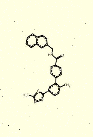 Cc1nnc(-c2ccc(C)c(-c3ccc(C(=O)NCc4ccc5ccccc5c4)cc3)c2)o1